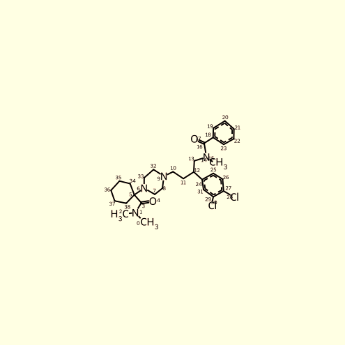 CN(C)C(=O)C1(N2CCN(CCC(CN(C)C(=O)c3ccccc3)c3ccc(Cl)c(Cl)c3)CC2)CCCCC1